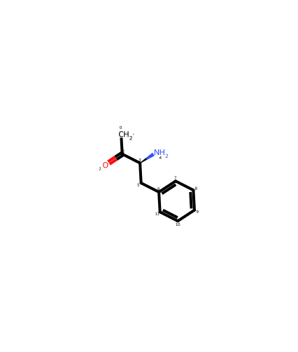 [CH2]C(=O)[C@@H](N)Cc1ccccc1